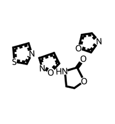 O=C1NCCO1.c1cnoc1.c1cocn1.c1cscn1